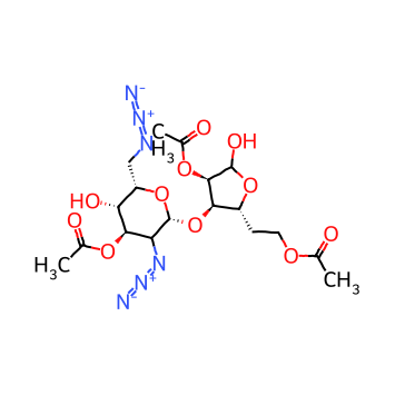 CC(=O)OCC[C@H]1OC(O)[C@H](OC(C)=O)[C@@H]1O[C@H]1O[C@@H](CN=[N+]=[N-])[C@@H](O)[C@H](OC(C)=O)C1N=[N+]=[N-]